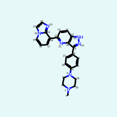 CN1CCN(c2ccc(-c3n[nH]c4ccc(-c5cccn6ccnc56)nc34)cc2)CC1